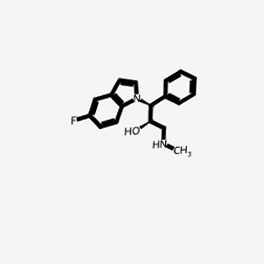 CNC[C@@H](O)[C@H](c1ccccc1)n1ccc2cc(F)ccc21